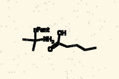 CCCCC(=O)O.CCCCCC(C)(C)N